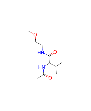 COCCNC(=O)C(NC(C)=O)C(C)C